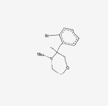 CC(C)c1ccccc1C1(C)COCCN1C(C)(C)C